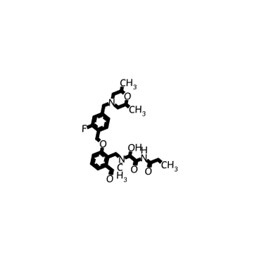 CCC(=O)NC(=O)C(O)N(C)Cc1c(C=O)cccc1OCc1ccc(CN2CC(C)OC(C)C2)cc1F